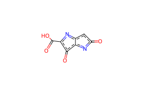 O=C(O)c1nc2cc(=O)nc-2c1=O